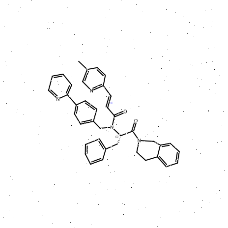 Cc1ccc(/C=C/C(=O)N(Cc2ccc(-c3ccccn3)cc2)[C@@H](Cc2ccccc2)C(=O)N2CCc3ccccc3C2)nc1